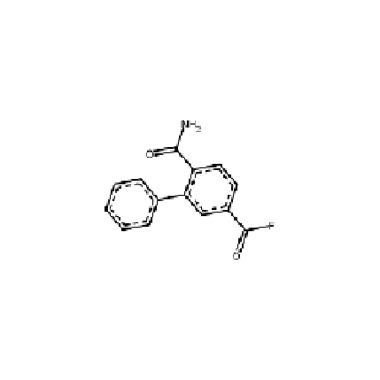 NC(=O)c1ccc(C(=O)F)cc1-c1ccccc1